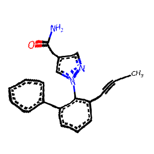 CC#Cc1cccc(-c2ccccc2)c1-n1cc(C(N)=O)cn1